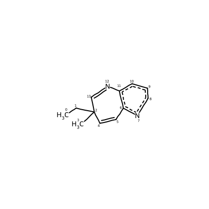 CCC1(C)C=Cc2ncccc2N=C1